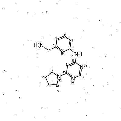 NCc1cccc(Nc2cc(N3CCCC3)ncn2)c1